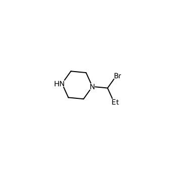 CCC(Br)N1CCNCC1